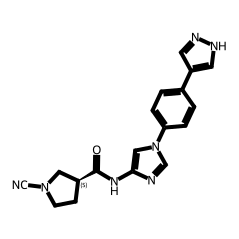 N#CN1CC[C@H](C(=O)Nc2cn(-c3ccc(-c4cn[nH]c4)cc3)cn2)C1